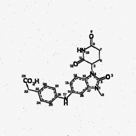 Cn1c(=O)n(C2CCC(=O)NC2=O)c2ccc(Nc3ccc(CC(=O)O)cc3)cc21